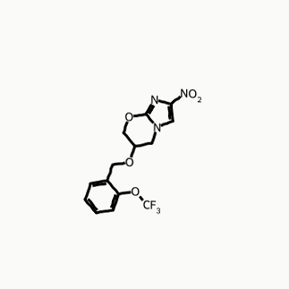 O=[N+]([O-])c1cn2c(n1)OCC(OCc1ccccc1OC(F)(F)F)C2